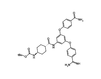 CC(C)(C)OC(=O)N[C@H]1CC[C@H](C(=O)Nc2cc(Oc3ccc(C(=N)N)cc3)cc(Oc3ccc(C(N)=O)cc3)c2)CC1